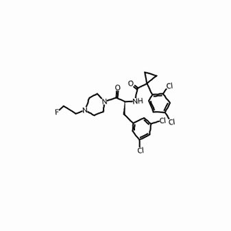 O=C([C@H](Cc1cc(Cl)cc(Cl)c1)NC(=O)C1(c2ccc(Cl)cc2Cl)CC1)N1CCN(CCF)CC1